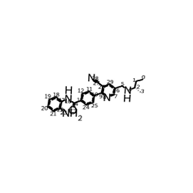 CC[C@H](C)NCc1cnc(-c2ccc(C(=O)Nc3ccccc3N)cc2)c(C#N)c1